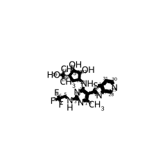 Cc1nc(NCC(F)(F)F)nc(NC2C[C@H](C(C)(C)O)[C@@H](O)[C@H]2O)c1-c1nc2cnccc2s1